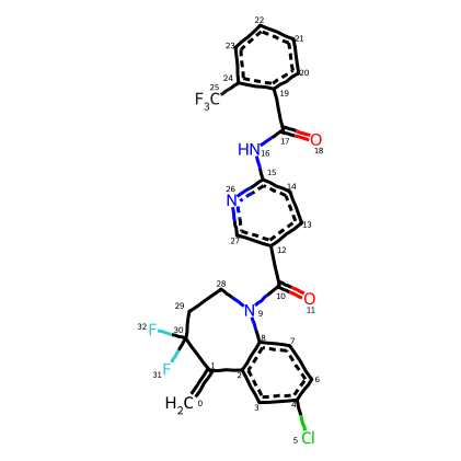 C=C1c2cc(Cl)ccc2N(C(=O)c2ccc(NC(=O)c3ccccc3C(F)(F)F)nc2)CCC1(F)F